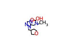 CCN(Cc1ncnn1CC1CCOCC1)C(=O)O